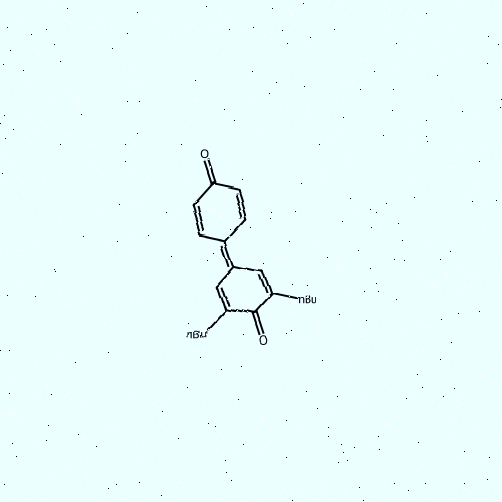 CCCCC1=CC(=C2C=CC(=O)C=C2)C=C(CCCC)C1=O